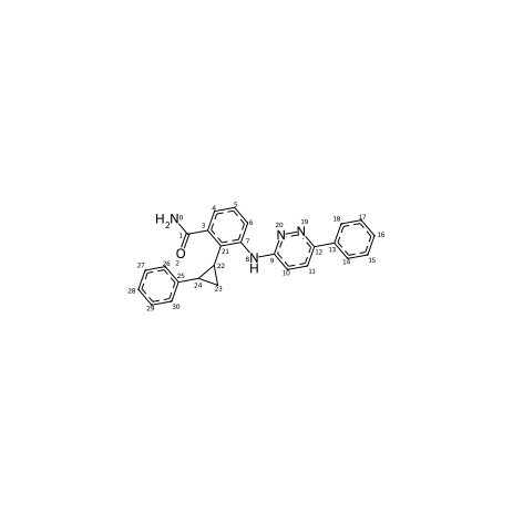 NC(=O)c1cccc(Nc2ccc(-c3ccccc3)nn2)c1C1CC1c1ccccc1